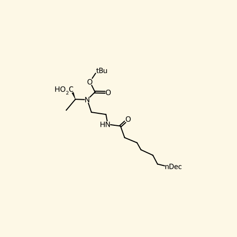 CCCCCCCCCCCCCCCC(=O)NCCN(C(=O)OC(C)(C)C)[C@@H](C)C(=O)O